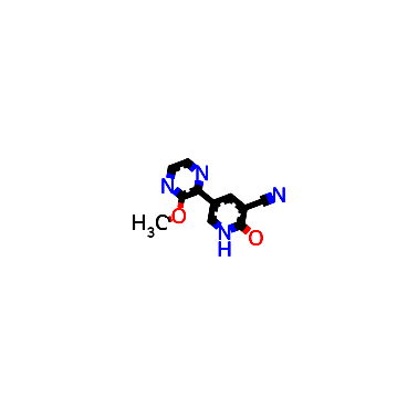 COc1nccnc1-c1c[nH]c(=O)c(C#N)c1